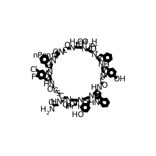 CCCCC[C@H]1C(=O)N(C)CC(=O)N[C@@H](CC(=O)O)C(=O)N[C@@H](C(C)C)C(=O)N(C)[C@@H](Cc2ccccc2)C(=O)N[C@@H](Cc2ccc(O)cc2)C(=O)N(C)CC(=O)N[C@@H](Cc2c[nH]c3ccccc23)C(=O)N[C@@H](Cc2ccc(O)cc2)C(=O)N[C@@H](CC(C)C)C(=O)N[C@H](C(=O)NCC(N)=O)CSCC(=O)N[C@@H](Cc2ccc(Cl)c(F)c2)C(=O)N(C)[C@@H](Cc2ccccc2)C(=O)N1C